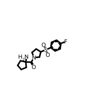 NC1(C(=O)N2CCC(S(=O)(=O)c3ccc(F)cc3)C2)CCCC1